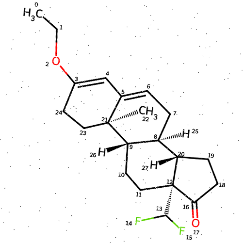 CCOC1=CC2=CC[C@@H]3[C@H](CC[C@]4(C(F)F)C(=O)CC[C@@H]34)[C@@]2(C)CC1